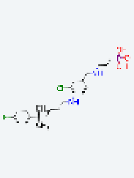 CC(C)(CCCCNc1ccc(CNCCCP(=O)(O)O)cc1Cl)c1ccc(F)cc1